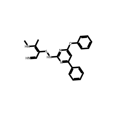 CN/C(C)=C(\C=N)SNc1nc(Oc2ccccc2)cc(-c2ccccc2)n1